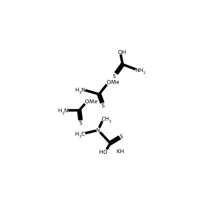 CN(C)C(O)=S.COC(N)=S.COC(N)=S.NC(O)=S.[KH]